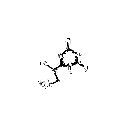 CC(C)(C)N(CC(=O)O)c1nc(Cl)nc(Cl)n1